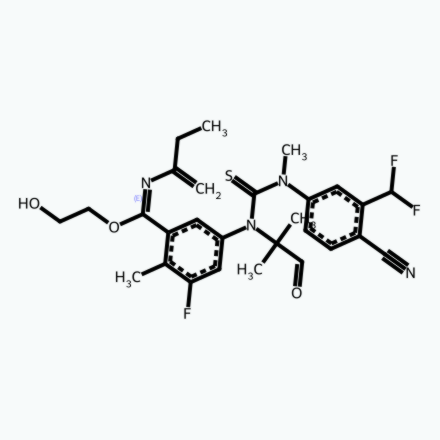 C=C(CC)/N=C(/OCCO)c1cc(N(C(=S)N(C)c2ccc(C#N)c(C(F)F)c2)C(C)(C)C=O)cc(F)c1C